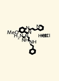 COc1ccc2nc(C=Cc3ccccn3)nc(N(CCNCCc3ccccc3)C(=N)N)c2c1.Cl.Cl.Cl